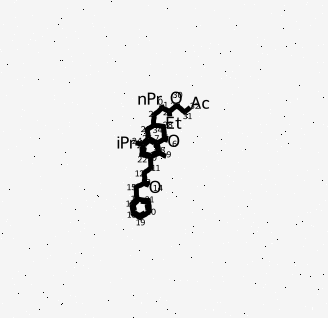 CCCC(CC1CC(=O)c2c(C)c(CCC(=O)Cc3ccccc3)cc(C(C)C)c2C1)C(CC)C(=O)CC(C)=O